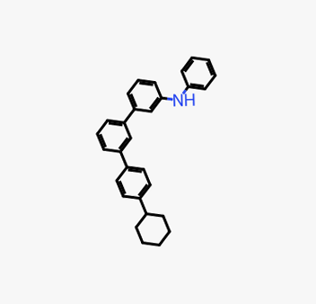 c1ccc(Nc2cccc(-c3cccc(-c4ccc(C5CCCCC5)cc4)c3)c2)cc1